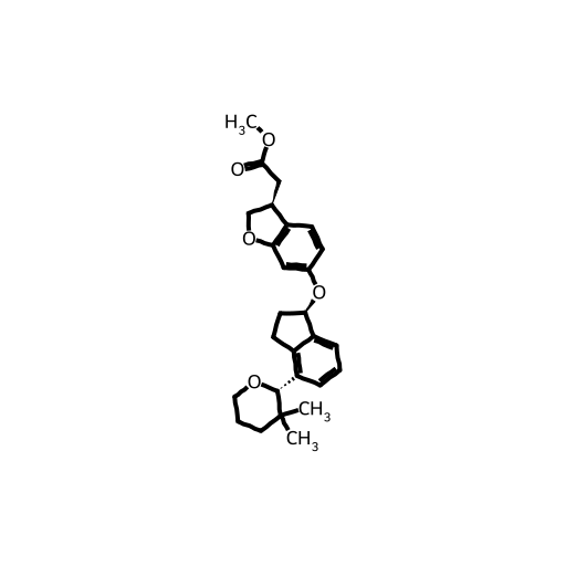 COC(=O)C[C@@H]1COc2cc(O[C@@H]3CCc4c([C@H]5OCCCC5(C)C)cccc43)ccc21